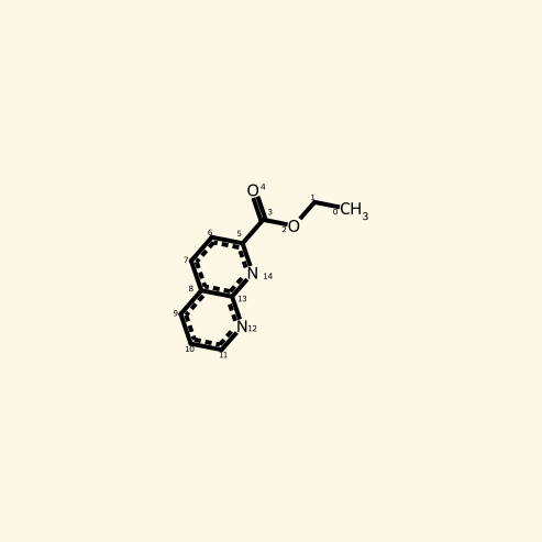 CCOC(=O)c1ccc2cccnc2n1